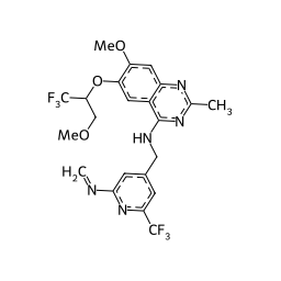 C=Nc1cc(CNc2nc(C)nc3cc(OC)c(OC(COC)C(F)(F)F)cc23)cc(C(F)(F)F)n1